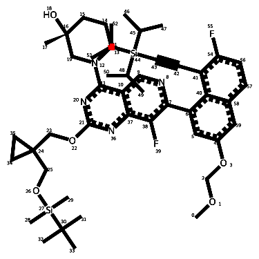 COCOc1cc(-c2ncc3c(N4CCC[C@@](C)(O)C4)nc(OCC4(CO[Si](C)(C)C(C)(C)C)CC4)nc3c2F)c2c(C#C[Si](C(C)C)(C(C)C)C(C)C)c(F)ccc2c1